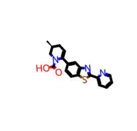 C[C@H]1CC=C(c2ccc3sc(-c4ccccn4)nc3c2)N(C(=O)O)C1